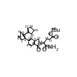 Cn1ncc(-c2ccc3c(c2)CN(C(CCC(=O)OC(C)(C)C)C(N)=O)C3=O)c1C1=CCCC1